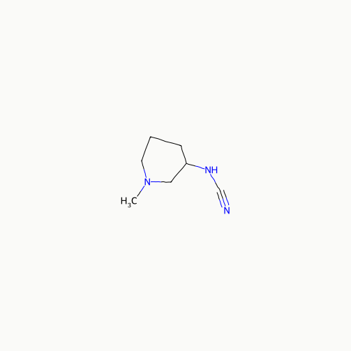 CN1CCCC(NC#N)C1